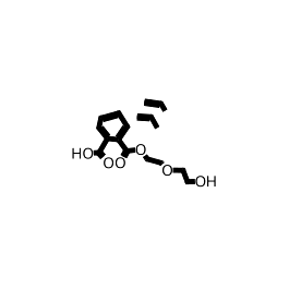 C=CC.C=CC.O=C(O)c1ccccc1C(=O)OCCOCCO